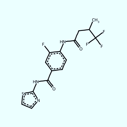 CC(CC(=O)Nc1ccc(C(=O)Nc2nccs2)cc1F)C(F)(F)F